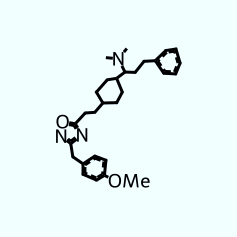 COc1ccc(Cc2noc(CCC3CCC(C(CCc4ccccc4)N(C)C)CC3)n2)cc1